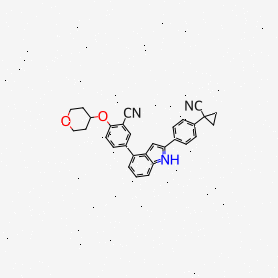 N#Cc1cc(-c2cccc3[nH]c(-c4ccc(C5(C#N)CC5)cc4)cc23)ccc1OC1CCOCC1